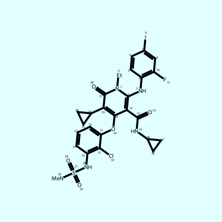 CCn1c(Nc2ccc(I)cc2F)c(C(=O)NC2CC2)c(Oc2cccc(NS(=O)(=O)NC)c2Cl)c(C2CC2)c1=O